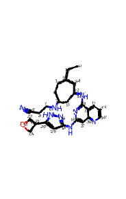 CCC1CCC(NCCC#N)CC(Nc2nc(Nc3cc(C4COC4)[nH]n3)cc3ncccc23)C1